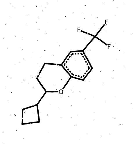 FC(F)(F)c1ccc2c(c1)CCC(C1CCC1)O2